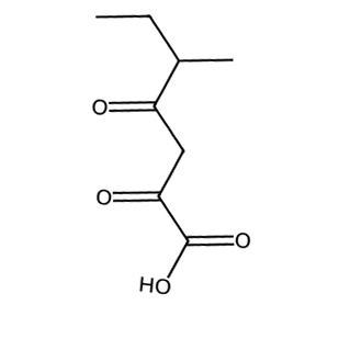 CCC(C)C(=O)CC(=O)C(=O)O